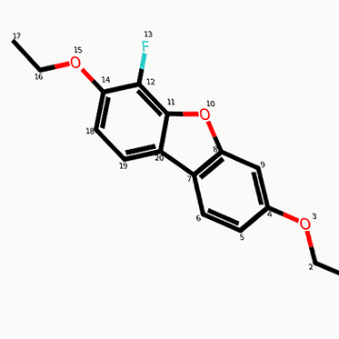 CCCOc1ccc2c(c1)oc1c(F)c(OCC)ccc12